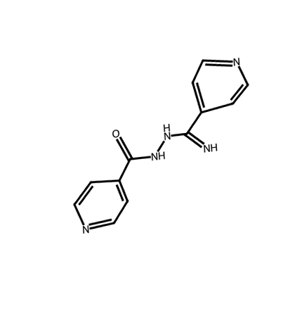 N=C(NNC(=O)c1ccncc1)c1ccncc1